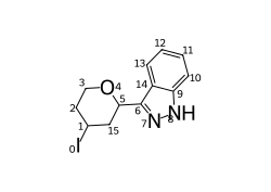 IC1CCOC(c2n[nH]c3ccccc23)C1